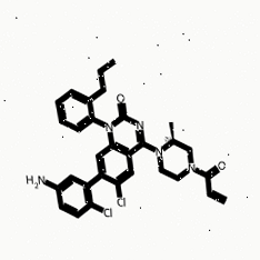 C=CC(=O)N1CCN(c2nc(=O)n(-c3ccccc3CCC)c3cc(-c4cc(N)ccc4Cl)c(Cl)cc23)[C@@H](C)C1